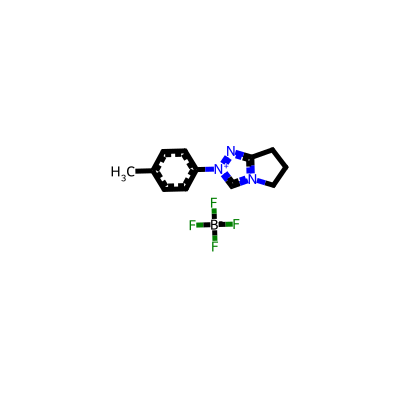 Cc1ccc(-[n+]2cn3c(n2)CCC3)cc1.F[B-](F)(F)F